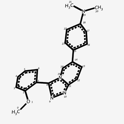 COc1ccccc1-c1nnc2ccc(-c3ccc(N(C)C)cc3)cn12